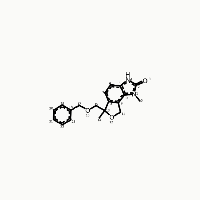 Cn1c(=O)[nH]c2ccc3c(c21)COC3(C)COCc1ccccc1